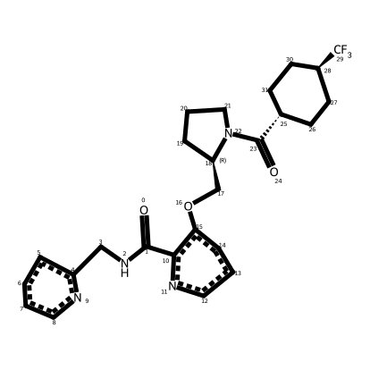 O=C(NCc1ccccn1)c1ncccc1OC[C@H]1CCCN1C(=O)[C@H]1CC[C@H](C(F)(F)F)CC1